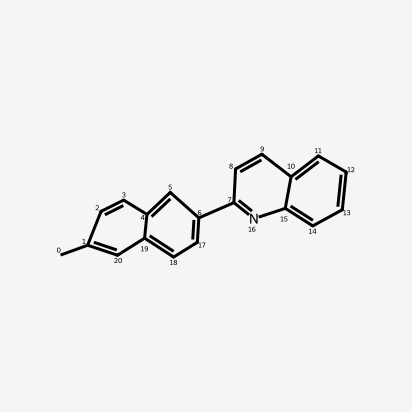 Cc1ccc2cc(-c3ccc4ccccc4n3)ccc2c1